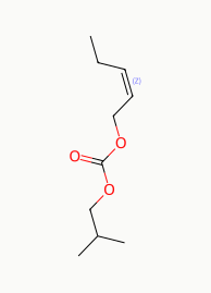 CC/C=C\COC(=O)OCC(C)C